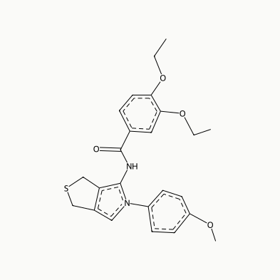 CCOc1ccc(C(=O)Nc2c3c(cn2-c2ccc(OC)cc2)CSC3)cc1OCC